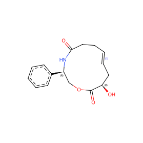 O=C1CC/C=C/C[C@@H](O)C(=O)OC[C@@H](c2ccccc2)N1